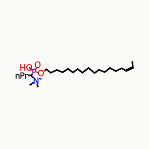 C/C=C\CCCCCCCCCCCCCCCOP(=O)(O)C(CCC)[N+](C)(C)C